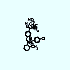 CC1CCCCC1N(Cc1ccc(C(=O)NC(C)(C)CO)cc1)S(=O)(=O)c1ccc(Cl)cc1